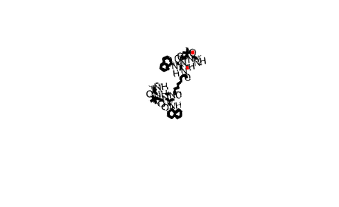 CN[C@@H](C)C(=O)N[C@H](C(=O)N1CCN(C(=O)CCCCCC(=O)N2CCN(C(=O)[C@@H](NC(=O)[C@H](C)NC)C(C)(C)C)[C@H](C(=O)N[C@@H]3CCCc4ccccc43)C2)C[C@H]1C(=O)N[C@@H]1CCCc2ccccc21)C(C)(C)C